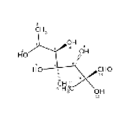 CC(O)[C@@H](O)[C@](C)(O)[C@H](O)[C@@](C)(O)C=O